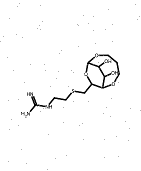 N=C(N)NCCSCC1OC2OCCCOC1C(O)C2O